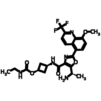 CCNC(=O)O[C@H]1C[C@@H](NC(=O)c2nc(-c3ccc(OC)c4nc(C(F)(F)F)ccc34)oc2[C@H](C)N)C1